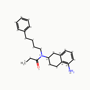 CCC(=O)N(CCCCc1ccccc1)C1CCc2c(N)cccc2C1